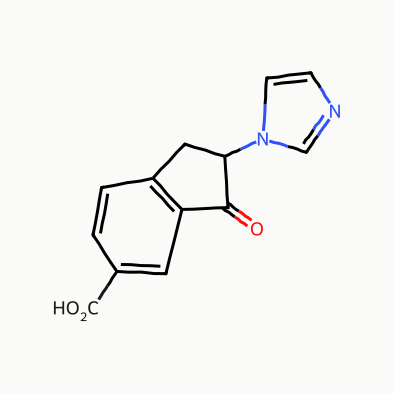 O=C(O)c1ccc2c(c1)C(=O)C(n1ccnc1)C2